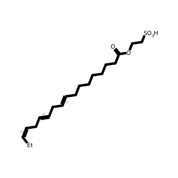 CC/C=C\C/C=C/C/C=C/CCCCCCCC(=O)OCCS(=O)(=O)O